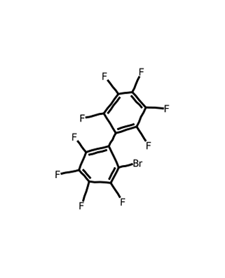 Fc1c(F)c(F)c(-c2c(F)c(F)c(F)c(F)c2Br)c(F)c1F